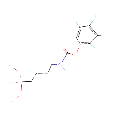 CCO[Si](O)(CCCCN(F)C(=O)Oc1cc(F)c(F)c(F)c1F)OCC